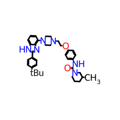 CC1CCCN(C(=O)Nc2ccc(OCCN3CCN(c4cccc5[nH]c(-c6ccc(C(C)(C)C)cc6)nc45)CC3)cc2)C1